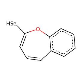 [SeH]C1=CC=Cc2ccccc2O1